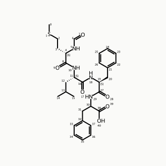 CSCC[C@H](NC=O)C(=O)N[C@@H](CC(C)C)C(=O)N[C@@H](Cc1ccccc1)C(=O)NC(Cc1ccccc1)C(=O)O